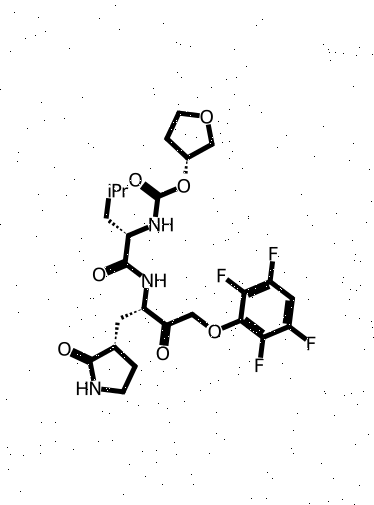 CC(C)C[C@H](NC(=O)O[C@@H]1CCOC1)C(=O)N[C@@H](C[C@@H]1CCNC1=O)C(=O)COc1c(F)c(F)cc(F)c1F